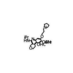 COc1cc2c3c(c(NC(C)C)nc2cc1OCCCN1CCCC1)COCC3.O=CO